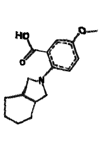 COc1ccc(N2CC3CCCCC3C2)c(C(=O)O)c1